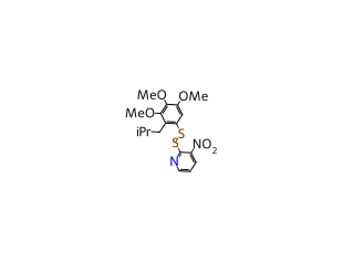 COc1cc(SSc2ncccc2[N+](=O)[O-])c(CC(C)C)c(OC)c1OC